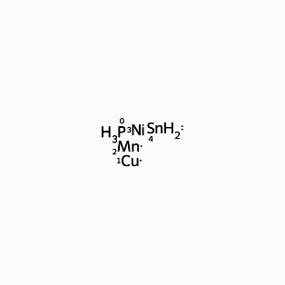 P.[Cu].[Mn].[Ni].[SnH2]